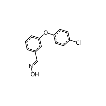 ON=Cc1cccc(Oc2ccc(Cl)cc2)c1